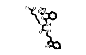 CCC(=O)CCCCC[C@H](NC(=O)c1ccccc1-n1cnnn1)C(=O)NCCc1c[nH]c2ccccc12